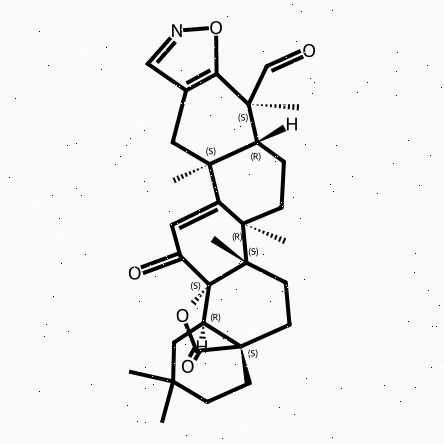 CC1(C)CC[C@@]23CC[C@@]4(C)[C@]5(C)CC[C@@H]6[C@](C)(Cc7cnoc7[C@@]6(C)C=O)C5=CC(=O)[C@]4(OC2=O)[C@@H]3C1